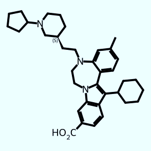 Cc1ccc2c(c1)N(CC[C@@H]1CCCN(C3CCCC3)C1)CCn1c-2c(C2CCCCC2)c2ccc(C(=O)O)cc21